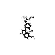 CC(CO)Nc1ncc(C#N)c(-c2c[nH]c3ncc(C(F)(F)F)cc23)n1